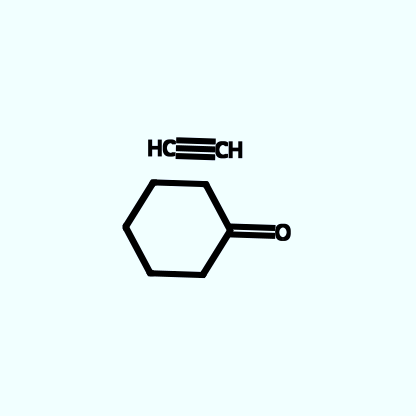 C#C.O=C1CCCCC1